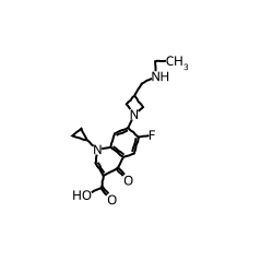 CCNCC1CN(c2cc3c(cc2F)c(=O)c(C(=O)O)cn3C2CC2)C1